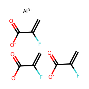 C=C(F)C(=O)[O-].C=C(F)C(=O)[O-].C=C(F)C(=O)[O-].[Al+3]